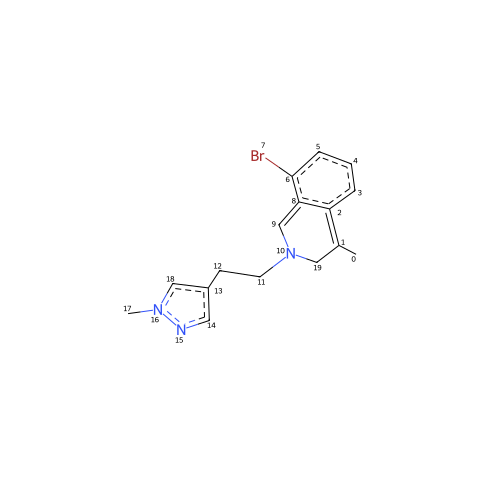 CC1=c2cccc(Br)c2=CN(CCc2cnn(C)c2)C1